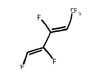 F/C=C(F)/C(F)=C/C(F)(F)F